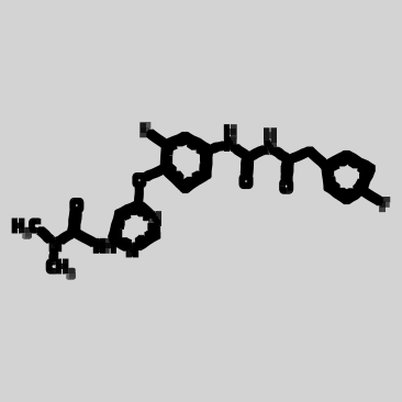 CN(C)C(=O)Nc1cc(Oc2ccc(NC(=O)NC(=O)Cc3ccc(F)cc3)cc2F)ncn1